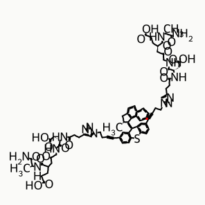 C[C@H](NC(=O)C(CCC(=O)O)CC(=O)CNC(=O)[C@H](CC(=O)O)NC(=O)CCc1cn(CCC#Cc2ccc3c(c2)/C(=C2/c4c(ccc5ccccc45)C[C@H]2C)c2cc(C#CCCn4cc(CCC(=O)N[C@@H](CC(=O)O)C(=O)NCC(=O)C[C@@H](CCC(=O)O)C(=O)N[C@@H](C)C(N)=O)nn4)ccc2S3)nn1)C(N)=O